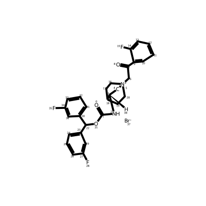 O=C(N[C@H]1C[N+]2(CC(=O)c3ccccc3F)CCC1CC2)OC(c1cccc(F)c1)c1cccc(F)c1.[Br-]